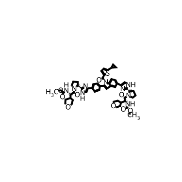 COC(=O)N[C@H](C(=O)N1CCC[C@H]1c1nc(-c2ccc3c(c2)OC(c2ccc(C4CC4)s2)n2c-3cc3cc(-c4c[nH]c([C@@H]5CCCN5C(=O)[C@@H](NC(=O)OC)C5CCOCC5)n4)ccc32)c[nH]1)C1CCOCC1